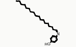 CCCCCCCCCCCCCCCCC/C=N\c1ccc(O)cc1